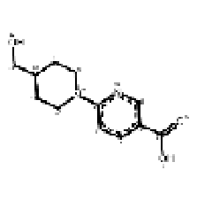 O=C(O)c1ccc(N2CCC(CO)CC2)nc1